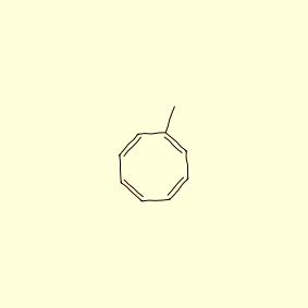 CC1=C/C=C\C=C/C=C\1